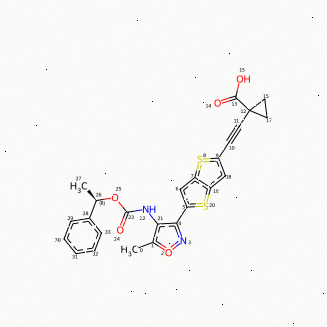 Cc1onc(-c2cc3sc(C#CC4(C(=O)O)CC4)cc3s2)c1NC(=O)O[C@H](C)c1ccccc1